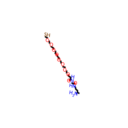 CC(N)CCCNC(=O)CNC(=O)CCOCCOCCOCCOCCOCCOCCOCCOCCS